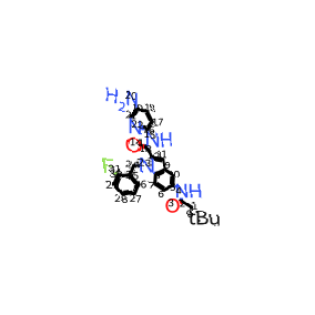 CC(C)(C)CC(=O)Nc1ccc2c(c1)cc(C(=O)Nc1ccc(N)cn1)n2Cc1ccccc1F